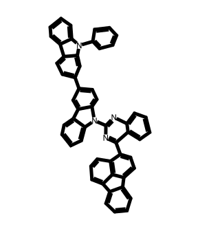 c1ccc(-n2c3ccccc3c3ccc(-c4ccc5c(c4)c4ccccc4n5-c4nc(-c5ccc6c7c(cccc57)-c5ccccc5-6)c5ccccc5n4)cc32)cc1